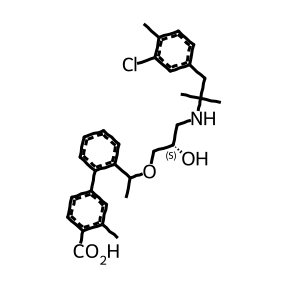 Cc1ccc(CC(C)(C)NC[C@H](O)COC(C)c2ccccc2-c2ccc(C(=O)O)c(C)c2)cc1Cl